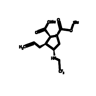 C=CC[C@@H]1[C@@H](NCC(F)(F)F)CN(C(=O)OC(C)(C)C)[C@@H]1C(=O)OC